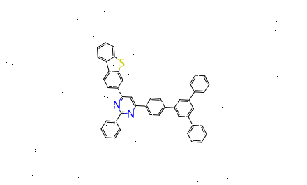 c1ccc(-c2cc(-c3ccccc3)cc(-c3ccc(-c4cc(-c5ccc6c(c5)sc5ccccc56)nc(-c5ccccc5)n4)cc3)c2)cc1